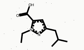 CCn1nc(CC(C)C)cc1C(=O)O